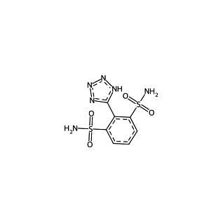 NS(=O)(=O)c1cccc(S(N)(=O)=O)c1-c1nnn[nH]1